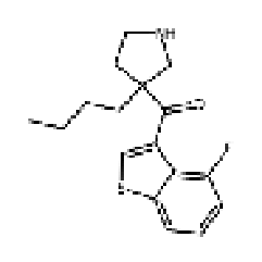 CCCCC1(C(=O)c2csc3cccc(F)c23)CCNC1